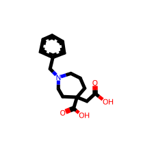 O=C(O)CC1(C(=O)O)CCCN(Cc2ccccc2)CC1